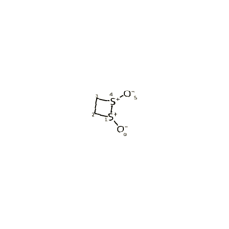 [O-][S+]1CC[S+]1[O-]